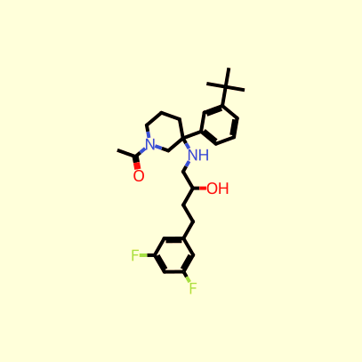 CC(=O)N1CCCC(NCC(O)CCc2cc(F)cc(F)c2)(c2cccc(C(C)(C)C)c2)C1